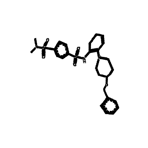 CN(C)S(=O)(=O)c1ccc(S(=O)(=O)NC2=C(N3CCC(OCc4ccccc4)CC3)C=CCC2)cc1